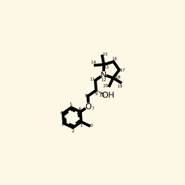 Cc1ccccc1OC[C@@H](O)CN1C(C)(C)CCC1(C)C